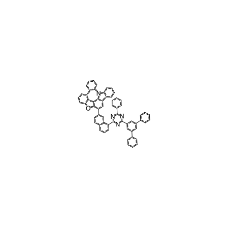 c1ccc(-c2cc(-c3ccccc3)cc(-c3nc(-c4ccccc4)nc(-c4cccc5ccc(-c6cc7c8ccccc8n8c9ccccc9c9cccc%10oc6c(c%109)c78)cc45)n3)c2)cc1